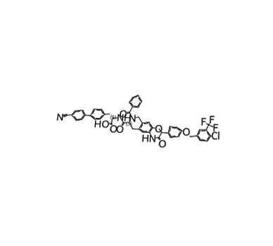 N#Cc1ccc(-c2ccc(C[C@H](NC(=O)[C@@H]3Cc4cc5c(cc4CN3C(=O)c3ccccc3)OC(c3ccc(OCc4ccc(Cl)c(C(F)(F)F)c4)cc3)C(=O)N5)C(=O)O)cc2)cc1